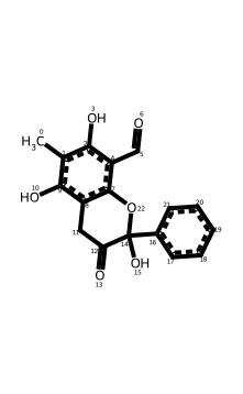 Cc1c(O)c(C=O)c2c(c1O)CC(=O)C(O)(c1ccccc1)O2